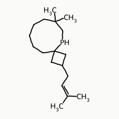 CC(C)=CCC1CC2(CCCCCC(C)(C)CP2)C1